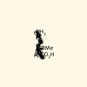 COCCn1c(CN2CCC(c3cccc(OCc4ccc(C(N)=O)cc4F)n3)CC2)nc2c(F)c(Nc3ccccc3)c(C(=O)O)cc21